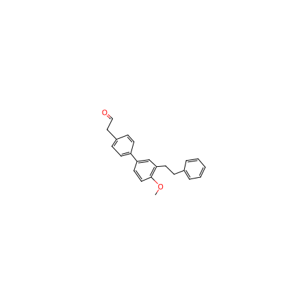 COc1ccc(-c2ccc(CC=O)cc2)cc1CCc1ccccc1